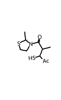 C[C]1SCCN1C(=O)C(C)C(S)C(C)=O